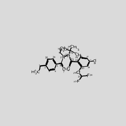 CCc1ccc(C(=O)N(CC)N(C(=O)c2ccc(Cl)cc2OC(F)F)C(C)(C)C)cc1